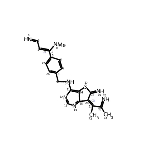 CN/C(=C\C=N)c1ccc(CNc2ncnc3c2SC(=N)/C3=C(/C)C(C)=N)cc1